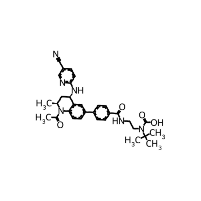 CC(=O)N1c2ccc(-c3ccc(C(=O)NCCN(C(=O)O)C(C)(C)C)cc3)cc2[C@H](Nc2ccc(C#N)cn2)C[C@@H]1C